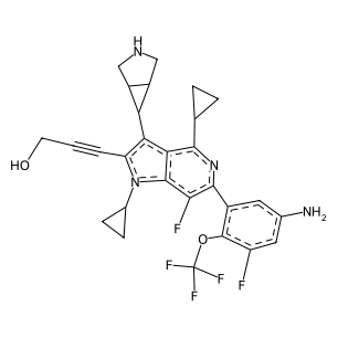 Nc1cc(F)c(OC(F)(F)F)c(-c2nc(C3CC3)c3c(C4C5CNCC54)c(C#CCO)n(C4CC4)c3c2F)c1